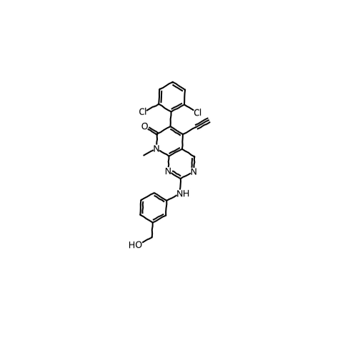 C#Cc1c(-c2c(Cl)cccc2Cl)c(=O)n(C)c2nc(Nc3cccc(CO)c3)ncc12